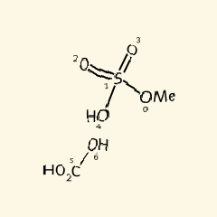 COS(=O)(=O)O.O=C(O)O